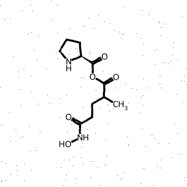 CC(CCC(=O)NO)C(=O)OC(=O)[C@@H]1CCCN1